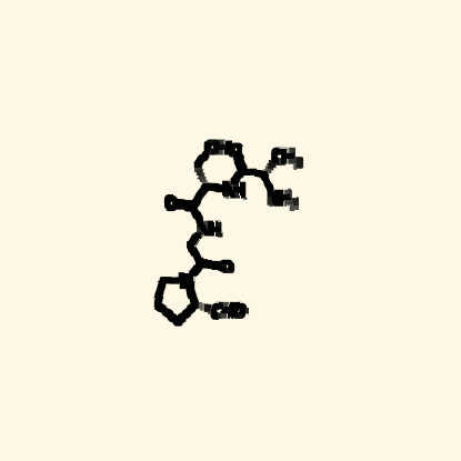 C[C@H](N)C(=O)N[C@@H](CO)C(=O)NCC(=O)N1CCC[C@H]1[C]=O